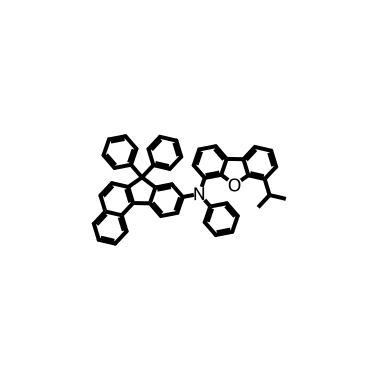 CC(C)c1cccc2c1oc1c(N(c3ccccc3)c3ccc4c(c3)C(c3ccccc3)(c3ccccc3)c3ccc5ccccc5c3-4)cccc12